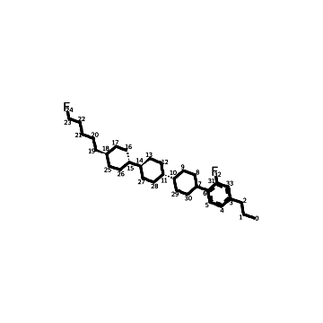 CCCc1ccc(C2CCC([C@H]3CC[C@H]([C@H]4CC[C@H](CCCCCF)CC4)CC3)CC2)c(F)c1